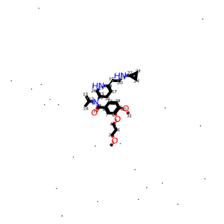 COCCCOc1cc(C(=O)N(C(C)C)[C@@H]2CC[C@H](CCNC3CC3)NC2)ccc1OC